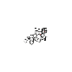 CN1C(=O)c2cccc(-n3c4cccc(-c5ccc(C(F)(F)F)cc5C(F)(F)F)c4c4c(-c5ccc(C(F)(F)F)cc5C(F)(F)F)cccc43)c2C1=O